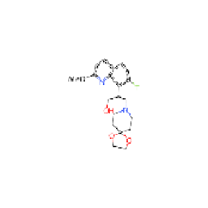 COc1ccc2ccc(F)c(C(CO)CN3CCC4(CC3)OCCO4)c2n1